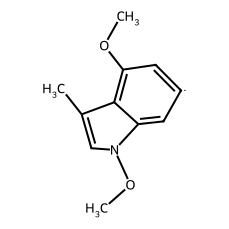 COc1c[c]cc2c1c(C)cn2OC